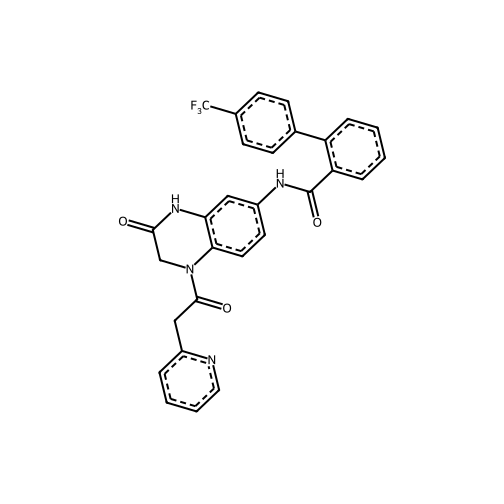 O=C1CN(C(=O)Cc2ccccn2)c2ccc(NC(=O)c3ccccc3-c3ccc(C(F)(F)F)cc3)cc2N1